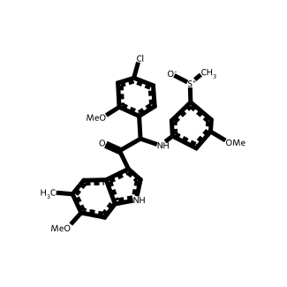 COc1cc(NC(C(=O)c2c[nH]c3cc(OC)c(C)cc23)c2ccc(Cl)cc2OC)cc([S+](C)[O-])c1